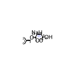 CC(C)=COC(=O)/C=C\C(=O)O.[NaH]